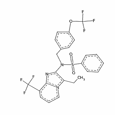 CCc1c(N(Cc2ccc(OC(F)(F)F)cc2)S(=O)(=O)c2ccccc2)nc2c(C(F)(F)F)cccn12